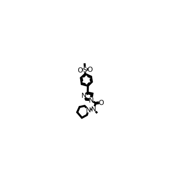 CN(C(=O)n1cnc(-c2ccc(S(C)(=O)=O)cc2)c1)N1CCCCC1